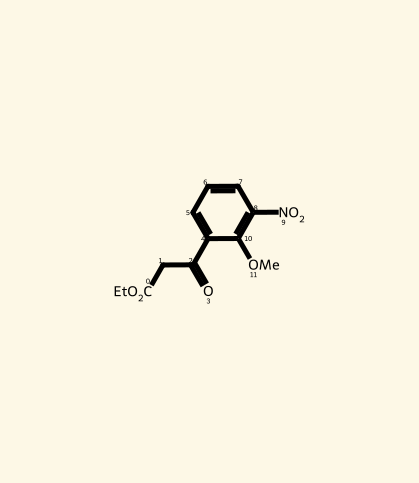 CCOC(=O)CC(=O)c1cccc([N+](=O)[O-])c1OC